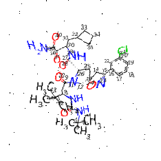 CC(C)(C)NC(=O)N[C@H](C(=O)N1C[C@@]2(CC(c3cccc(Cl)c3)=NO2)C[C@H]1C(=O)NC(CC1CCC1)C(=O)C(N)=O)C(C)(C)C